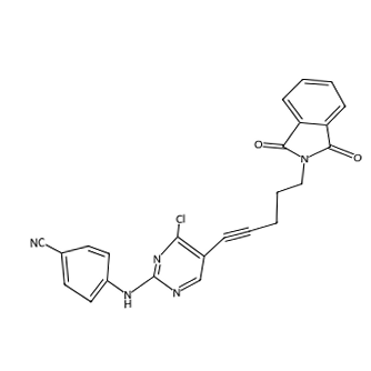 N#Cc1ccc(Nc2ncc(C#CCCCN3C(=O)c4ccccc4C3=O)c(Cl)n2)cc1